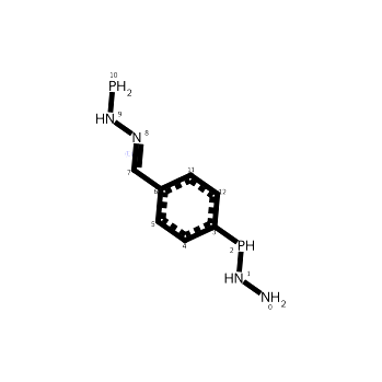 NNPc1ccc(/C=N/NP)cc1